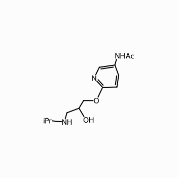 CC(=O)Nc1ccc(OCC(O)CNC(C)C)nc1